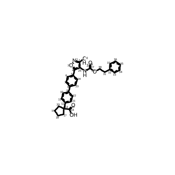 Cc1noc(-c2ccc(-c3ccc(C4(C(=O)O)CCCC4)cc3)cc2)c1NC(=O)OCCc1ccccc1